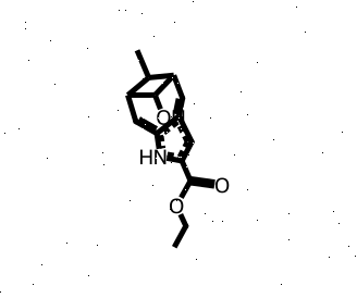 CCOC(=O)c1cc2c([nH]1)=CC1C(C)C(C=2)C1O